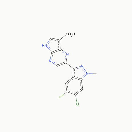 Cn1nc(-c2cnc3[nH]cc(C(=O)O)c3n2)c2cc(F)c(Cl)cc21